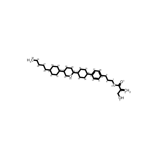 C=C(CO)C(=O)OCCCc1ccc(C2CCC(C3CCC(C4CCC(CCCCC)CC4)CO3)CC2)cc1